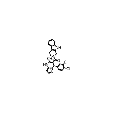 CC1=C(C(=O)N2CCc3c([nH]c4ccccc34)C2)C(c2ccc(Cl)c(Cl)c2)n2nccc2N1